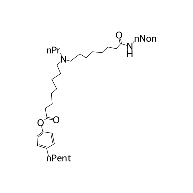 CCCCCCCCCNC(=O)CCCCCCCN(CCC)CCCCCCCC(=O)Oc1ccc(CCCCC)cc1